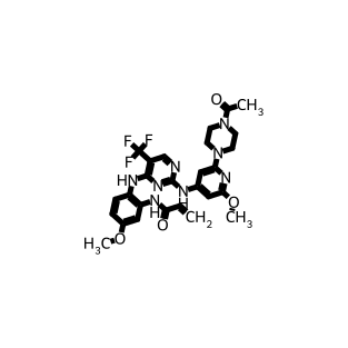 C=CC(=O)Nc1cc(OC)ccc1Nc1nc(Nc2cc(OC)nc(N3CCN(C(C)=O)CC3)c2)ncc1C(F)(F)F